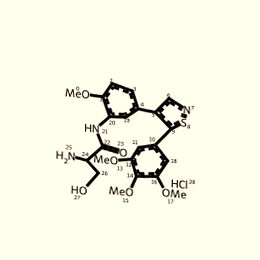 COc1ccc(-c2cnsc2-c2cc(OC)c(OC)c(OC)c2)cc1NC(=O)C(N)CO.Cl